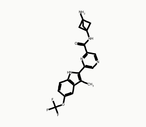 Cc1c(-c2cncc(C(=O)NC34CC(N)(C3)C4)n2)[nH]c2ccc(OC(F)(F)F)cc12